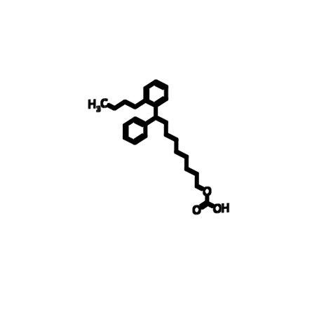 CCCCc1ccccc1C(CCCCCCCCOC(=O)O)c1ccccc1